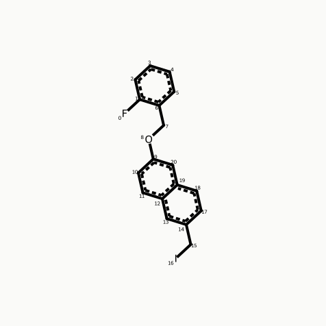 Fc1ccccc1COc1ccc2cc(CI)ccc2c1